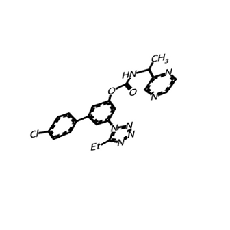 CCc1nnnn1-c1cc(OC(=O)NC(C)c2cnccn2)cc(-c2ccc(Cl)cc2)c1